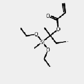 [CH2]CC(C)(OC(=O)C=C)[Si](C)(OCC)OCC